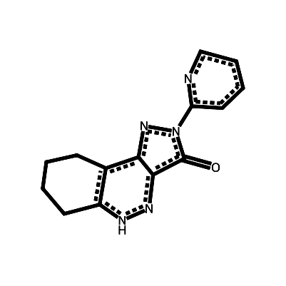 O=c1c2n[nH]c3c(c-2nn1-c1ccccn1)CCCC3